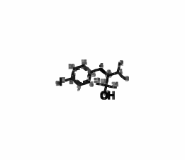 CC(C)[C@H](Cc1ccc(F)cc1)C(C)(C)O